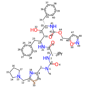 CC(C)[C@H](NC(=O)N(C)Cc1csc(CN2CCCC2)n1)C(=O)NC(Cc1ccccc1)CC(O)[C@H](Cc1ccccc1)NC(=O)OCc1ccno1